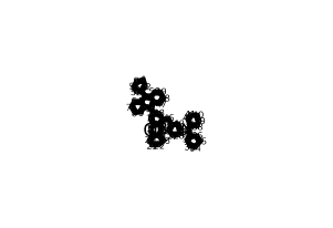 c1ccc(-c2c3ccccc3c(-c3cc4c5c(c3)Oc3ccccc3B5c3ccc(N(c5ccccc5)c5ccccc5)cc3C4)c3ccccc23)cc1